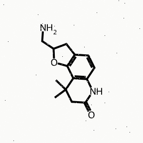 CC1(C)CC(=O)Nc2ccc3c(c21)OC(CN)C3